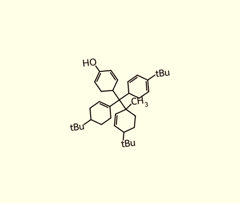 CC(C)(C)C1=CCC(C(C2=CCC(C(C)(C)C)CC2)(C2C=CC(O)=CC2)C2(C)C=CC(C(C)(C)C)CC2)C=C1